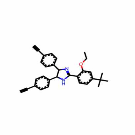 C#Cc1ccc(C2N=C(c3ccc(C(C)(C)C)cc3OCC)NC2c2ccc(C#C)cc2)cc1